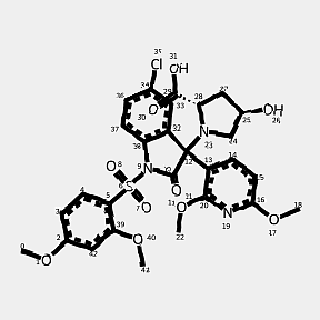 COc1ccc(S(=O)(=O)N2C(=O)C(c3ccc(OC)nc3OC)(N3C[C@H](O)C[C@H]3C(=O)O)c3cc(Cl)ccc32)c(OC)c1